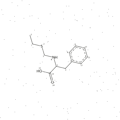 CCSCNC(Cc1ccccc1)C(=O)O